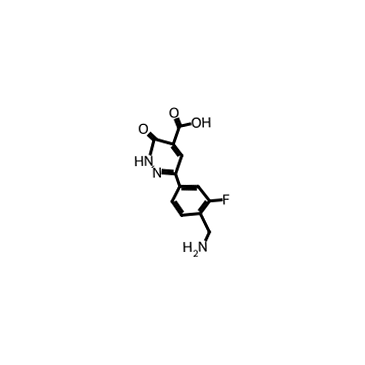 NCc1ccc(-c2cc(C(=O)O)c(=O)[nH]n2)cc1F